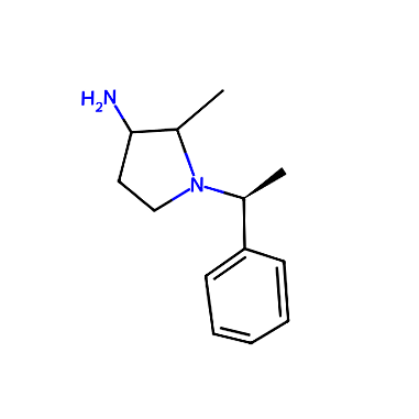 CC1C(N)CCN1[C@@H](C)c1ccccc1